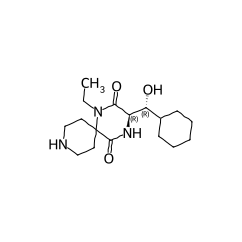 CCN1C(=O)[C@@H]([C@H](O)C2CCCCC2)NC(=O)C12CCNCC2